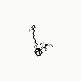 C=C(C)C(=O)OC12CC3CC(CC(OCCCCCCCC4(CC)CCO4)(C3)C1)C2